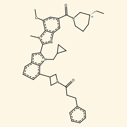 CC[C@@H]1CCCN(C(=O)c2cc(OC)c3c(c2)nc(-c2cc4cccc(C5CN(C(=O)CCc6ccccc6)C5)c4n2CC2CC2)n3C)C1